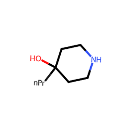 CCCC1(O)CCNCC1